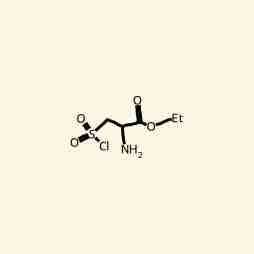 CCOC(=O)C(N)CS(=O)(=O)Cl